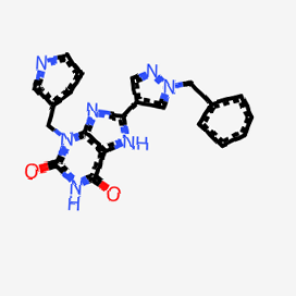 O=c1[nH]c(=O)n(Cc2cccnc2)c2nc(-c3cnn(Cc4ccccc4)c3)[nH]c12